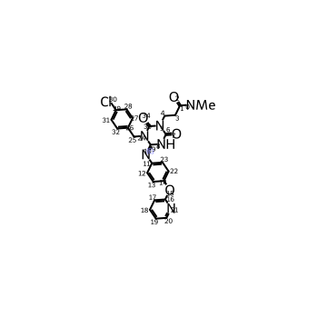 CNC(=O)CCn1c(=O)[nH]/c(=N\c2ccc(Oc3ccccn3)cc2)n(Cc2ccc(Cl)cc2)c1=O